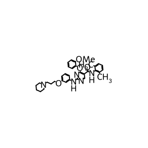 COc1ccccc1Oc1nc(Nc2cccc(OCCCN3CCCCC3)c2)ncc1C(=O)Nc1c(C)cccc1C